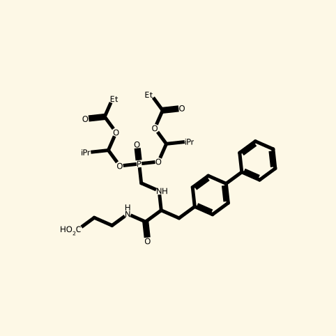 CCC(=O)OC(OP(=O)(CNC(Cc1ccc(-c2ccccc2)cc1)C(=O)NCCC(=O)O)OC(OC(=O)CC)C(C)C)C(C)C